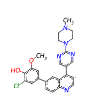 COc1cc(-c2ccc3nc[c]c(-c4cnc(N5CCN(C)CC5)nc4)c3c2)cc(Cl)c1O